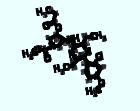 CCC(=O)O[C@H]1CN(C(=O)OC)C[C@H]1Nc1nc(CC)c(-c2ccc(OC)cc2Cl)nc1CC